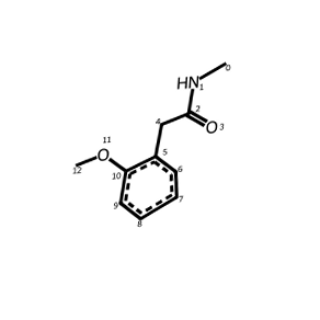 CNC(=O)Cc1ccccc1OC